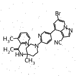 C=C(NC1(C)CCN(c2ccc(-c3cc(Br)cn4ncc(C#N)c34)cn2)CC1)c1ncccc1C